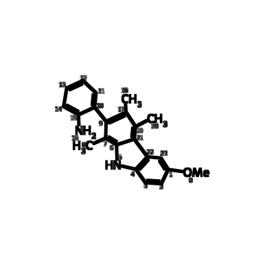 COc1ccc2[nH]c3c(C)c(-c4ccccc4N)c(C)c(C)c3c2c1